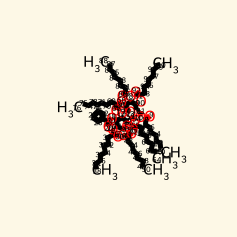 CCCCCCCCC(=O)OC[C@H]1O[C@@H](O[C@H]2[C@H](OC(=O)c3ccccc3)[C@@H](OC(=O)CCCCCCCC)[C@H](OC(=O)CCCCCCCC)O[C@@H]2COC(=O)CCCCCCCC)[C@H](OC(=O)CCCCCCCC)[C@@H](OC(=O)CCCCCCCC)[C@@H]1OC(=O)CCCCCCCC